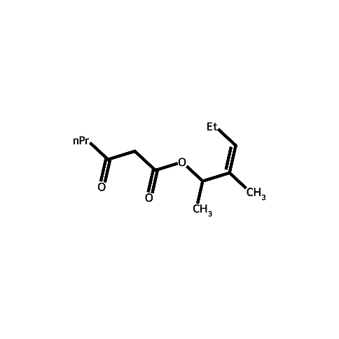 CCC=C(C)C(C)OC(=O)CC(=O)CCC